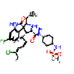 C=C(/C=C\C=C(\Cl)CF)[C@H]1[C@H](C(=O)N[C@H]2CC[C@@H](NS(C)(=O)=O)CC2)N[C@H](CC(C)(C)C)[C@]12C(=O)Nc1cc(Cl)ccc12